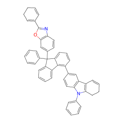 C1=CC(c2nc3ccc(C4(c5ccccc5)c5ccccc5-c5c(-c6ccc7c(c6)c6c(n7-c7ccccc7)CCC=C6)cccc54)cc3o2)=CCC1